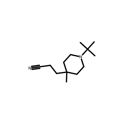 CC1(CCC#N)CCN(C(C)(C)C)CC1